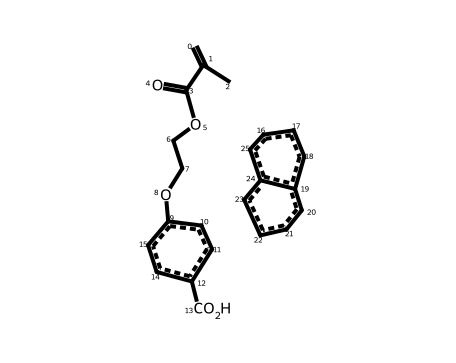 C=C(C)C(=O)OCCOc1ccc(C(=O)O)cc1.c1ccc2ccccc2c1